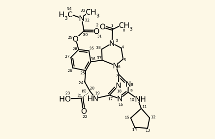 CC(=O)N1CCN2c3nc(NC4CCCC4)nc(n3)N[C@H](C(=O)O)Cc3ccc(OC(=O)N(C)C)cc3C2C1